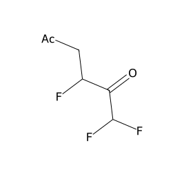 CC(=O)CC(F)C(=O)C(F)F